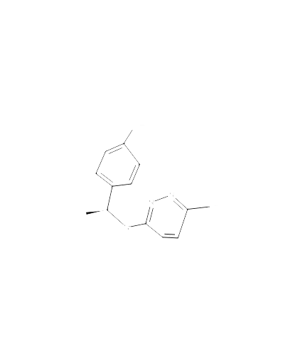 CC(C)c1ccc(N[C@@H](C)c2ccc(O)cc2)nn1